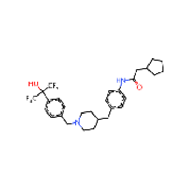 O=C(CC1CCCC1)Nc1ccc(CC2CCN(Cc3ccc(C(O)(C(F)(F)F)C(F)(F)F)cc3)CC2)cc1